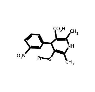 CC1=C(SC(C)C)C(c2cccc([N+](=O)[O-])c2)C(C(=O)O)=C(C)N1